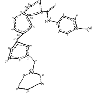 C=C(Nc1ccc(O)nc1)c1n[nH]c2ccc(-c3cncc(CN4CCCCC4)c3)cc12